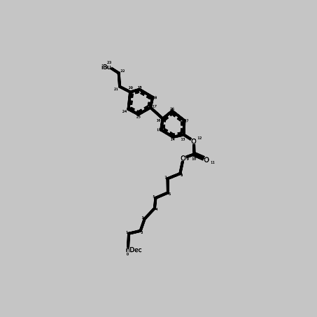 CCCCCCCCCCCCCCCCCCOC(=O)Oc1ccc(-c2ccc(CCC(C)CC)cc2)cc1